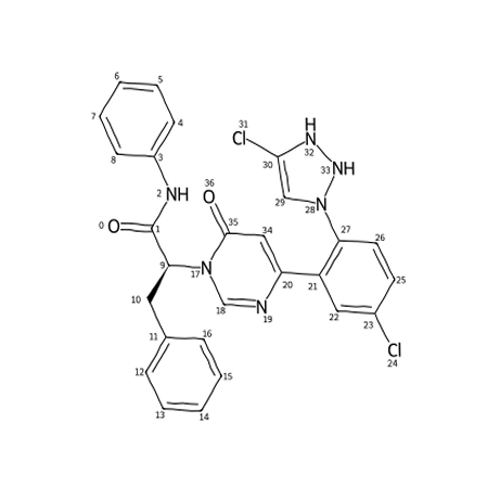 O=C(Nc1ccccc1)[C@H](Cc1ccccc1)n1cnc(-c2cc(Cl)ccc2N2C=C(Cl)NN2)cc1=O